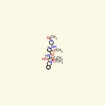 CCOc1c(C(=O)NCC(O)[C@@H]2Cc3ccccc3CN2C(=O)OC(C)(C)C)ccnc1NC1CCN(C(C)=O)CC1